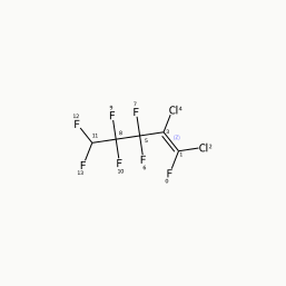 F/C(Cl)=C(/Cl)C(F)(F)C(F)(F)C(F)F